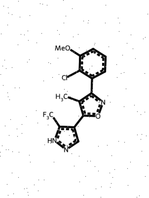 COc1cccc(-c2noc(-c3cn[nH]c3C(F)(F)F)c2C)c1Cl